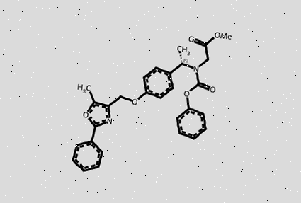 COC(=O)CN(C(=O)Oc1ccccc1)[C@@H](C)c1ccc(OCc2nc(-c3ccccc3)oc2C)cc1